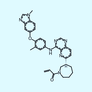 C=CC(=O)N1CCCC[C@@H](c2ccc3ncnc(Nc4ccc(Oc5ccc6c(c5)ncn6C)c(C)c4)c3n2)C1